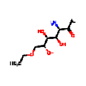 CC(=O)C(=O)[C@H](N)[C@@H](O)[C@H](O)[C@H](O)COCC(=O)O